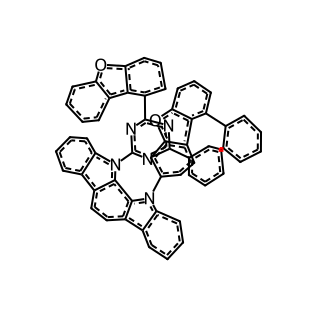 c1ccc(-c2nc(-c3cccc4oc5ccccc5c34)nc(-n3c4ccccc4c4ccc5c6ccccc6n(-c6ccc7c(c6)oc6cccc(-c8ccccc8)c67)c5c43)n2)cc1